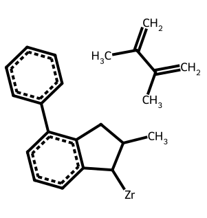 C=C(C)C(=C)C.CC1Cc2c(-c3ccccc3)cccc2[CH]1[Zr]